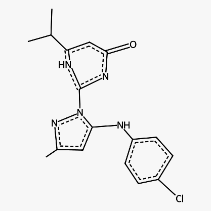 Cc1cc(Nc2ccc(Cl)cc2)n(-c2nc(=O)cc(C(C)C)[nH]2)n1